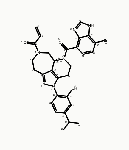 C=CC(=O)N1CCc2nn(-c3ccc(C(C)C)cc3O)c3c2[C@H](C1)N(C(=O)c1ccc(Br)c2[nH]cnc12)CC3